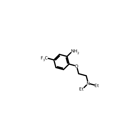 CCN(CC)CCOc1ccc(C(F)(F)F)cc1N